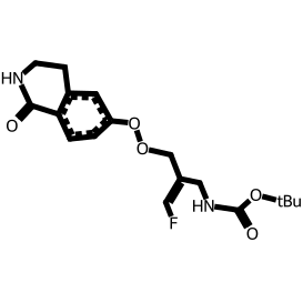 CC(C)(C)OC(=O)NCC(=CF)COOc1ccc2c(c1)CCNC2=O